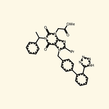 COC(=O)Cn1c(=O)n(C(C)c2ccccc2)c(=O)c2c1nc(C(C)C)n2Cc1ccc(-c2ccccc2-c2nnn[nH]2)cc1